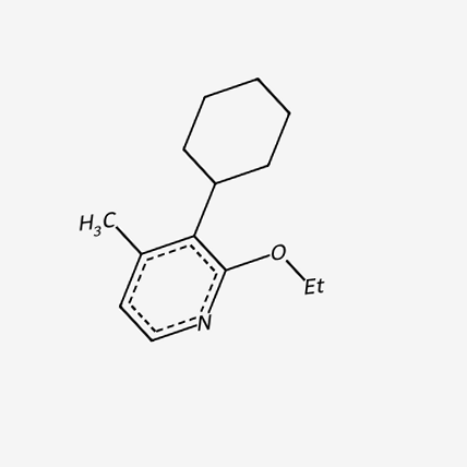 CCOc1nccc(C)c1C1CCCCC1